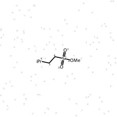 [CH2]OS(=O)(=O)CCC(C)C